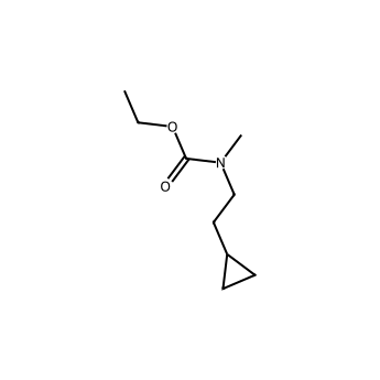 CCOC(=O)N(C)CCC1CC1